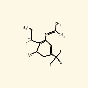 CC[C@@H](I)C1=C(N=C(C)C)C=C(C(F)(F)F)CC1C